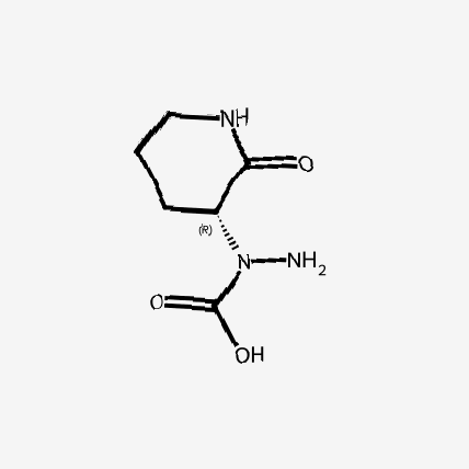 NN(C(=O)O)[C@@H]1CCCNC1=O